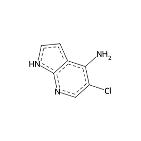 Nc1c(Cl)cnc2[nH]ccc12